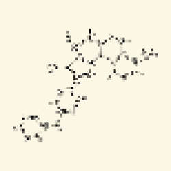 Nc1c2c(=O)[nH]c3c(c2nn1-c1ccc(Oc2ccccc2)cc1)-c1cccc([N+](=O)[O-])c1OC3